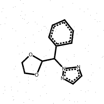 c1ccc(C(C2OCCO2)n2nccn2)cc1